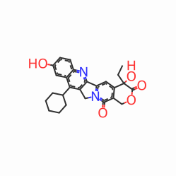 CCC1(O)C(=O)OCc2c1cc1n(c2=O)Cc2c-1nc1ccc(O)cc1c2C1CCCCC1